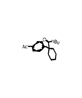 CCCCC(=O)C1(c2ccc(C(C)=O)cc2)CCCCC1